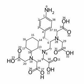 Nc1ccc(C[C@@H](CN(CC(=O)O)[C@H]2CCCCC2N(CC(=O)O)CC(=O)O)N(CC(=O)O)CC(=O)O)cc1